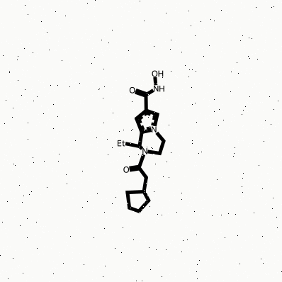 CCC1c2cc(C(=O)NO)cn2CCN1C(=O)CC1CCCC1